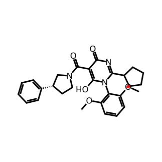 COc1cccc(OC)c1-n1c(C2CCCC2)nc(=O)c(C(=O)N2CC[C@H](c3ccccc3)C2)c1O